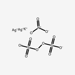 O=S(=O)([O-])OOS(=O)(=O)[O-].O=[N+]([O-])[O-].[Ag+].[Ag+].[K+]